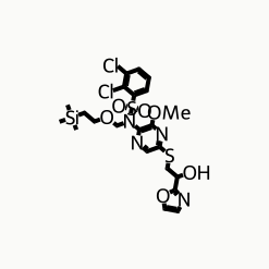 COc1nc(SCC(O)c2ncco2)cnc1N(COCC[Si](C)(C)C)S(=O)(=O)c1cccc(Cl)c1Cl